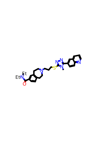 CCN(CC)C(=O)c1ccc2c(c1)CCN(CCCSc1nnc(-c3ccc4ncccc4c3)n1C)CC2